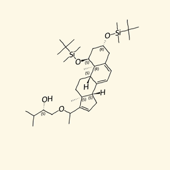 CC(OC[C@@H](O)C(C)C)C1=CC[C@H]2C3=CC=C4C[C@@H](O[Si](C)(C)C(C)(C)C)C[C@H](O[Si](C)(C)C(C)(C)C)[C@]4(C)[C@H]3CC[C@]12C